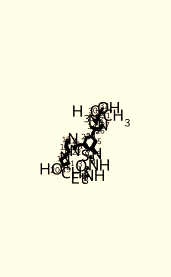 CCNC(=O)Nc1nc2c(s1)=C(c1nccc(N3CC(C)(O)C3)n1)CC(c1cnc(C(C)(C)O)nc1)C=2